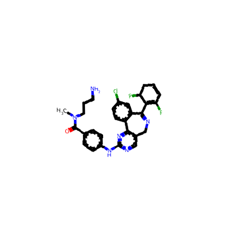 CN(CCCN)C(=O)c1ccc(Nc2ncc3c(n2)-c2ccc(Cl)cc2C(C2=C(F)C=CCC2F)=NC3)cc1